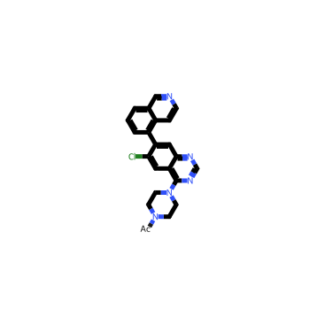 CC(=O)N1CCN(c2ncnc3cc(-c4cccc5cnccc45)c(Cl)cc23)CC1